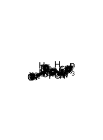 Cc1c(C(=O)Nc2ccc(Oc3cccnc3C(=O)NCCCN3CCOCC3)c(F)c2)nnn1-c1ccc(F)cc1